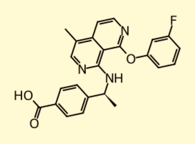 Cc1cnc(N[C@@H](C)c2ccc(C(=O)O)cc2)c2c(Oc3cccc(F)c3)nccc12